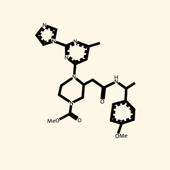 COC(=O)N1CCN(c2cc(C)nc(-n3ccnc3)n2)C(CC(=O)NC(C)c2ccc(OC)cc2)C1